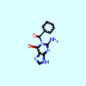 Nc1nc2[nH]cnc2c(=O)n1C(=O)c1ccccc1